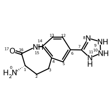 N[C@H]1CCc2cc(C3=NNNN3)ccc2NC1=O